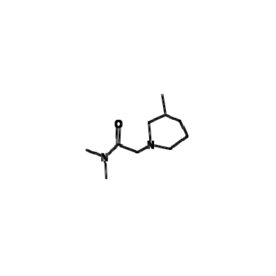 CC1CCCN(CC(=O)N(C)C)C1